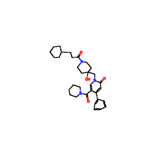 O=C(CCC1CCCCC1)N1CCC(O)(Cn2cc(C(=O)N3CCCCC3)c(-c3ccccc3)cc2=O)CC1